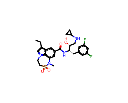 CCc1cn2c3c(cc(C(=O)N[C@@H](Cc4cc(F)cc(F)c4)[C@H](O)CNC4CC4)cc13)N(C)S(=O)(=O)CC2